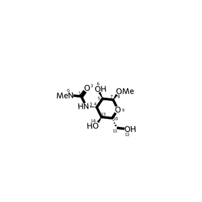 CNC(=O)N[C@@H]1[C@@H](O)[C@@H](OC)O[C@H](CO)[C@H]1O